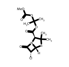 COC(=O)OC(C)(C)OC(=O)[C@@H]1N2C(=O)[C@@H](Cl)[C@H]2SC1(C)C